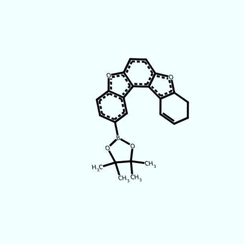 CC1(C)OB(c2ccc3oc4ccc5oc6c(c5c4c3c2)C=CCC6)OC1(C)C